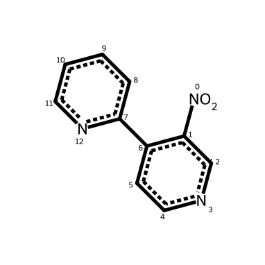 O=[N+]([O-])c1[c]nccc1-c1ccccn1